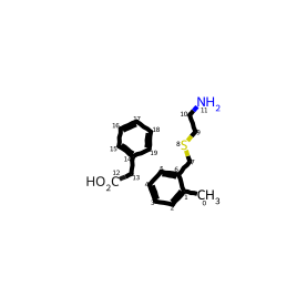 Cc1ccccc1CSCCN.O=C(O)Cc1ccccc1